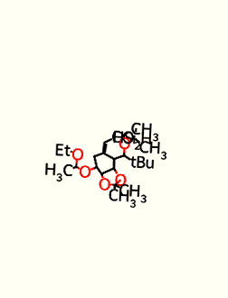 CCOC(C)OC1CC(=CC(=O)O)C(C(O[SiH](C)C)C(C)(C)C)C2OC(C)(C)OC12